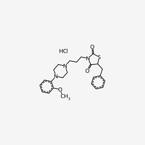 COc1ccccc1N1CCN(CCCN2C(=O)SC(Cc3ccccc3)C2=O)CC1.Cl